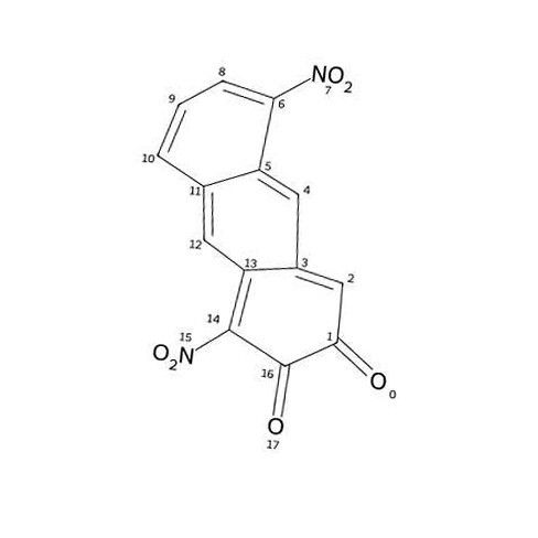 O=C1C=c2cc3c([N+](=O)[O-])cccc3cc2=C([N+](=O)[O-])C1=O